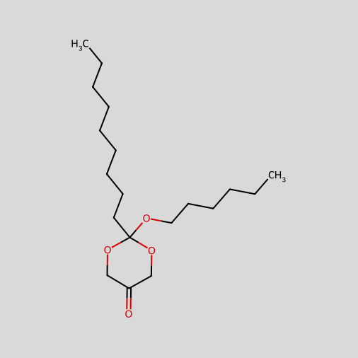 CCCCCCCCCC1(OCCCCCC)OCC(=O)CO1